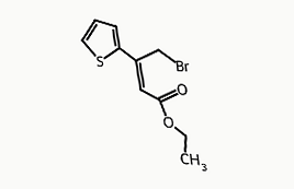 CCOC(=O)C=C(CBr)c1cccs1